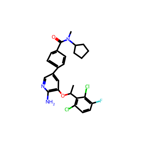 CC(Oc1cc(-c2ccc(C(=O)N(C)C3CCCC3)cc2)cnc1N)c1c(Cl)ccc(F)c1Cl